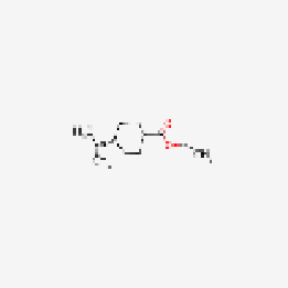 CCOC(=O)C1CCC(=C(C)C)CC1